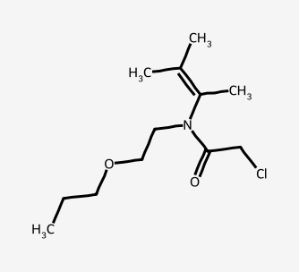 CCCOCCN(C(=O)CCl)C(C)=C(C)C